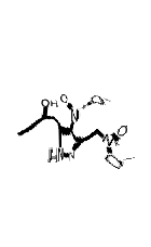 CC(O)c1[nH]nc([N+](=O)[O-])c1[N+](=O)[O-]